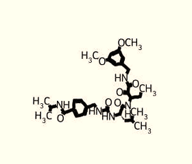 CCC(NC(=O)[C@H](CC(C)C)NC(=O)NCc1ccc(C(=O)NC(C)C)cc1)C(=O)C(=O)NCc1cc(OC)cc(OC)c1